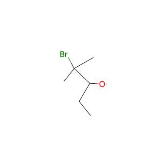 CCC([O])C(C)(C)Br